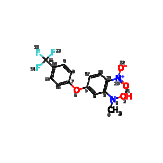 CN(O)c1cc(Oc2ccc(C(F)(F)F)cc2)ccc1[N+](=O)[O-]